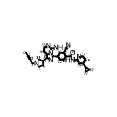 CC#CCN1CCC(c2nc(-c3ccc(C(=O)Nc4cc(C5CC5)ccn4)c(C#N)c3)n3c(N)nccc23)C1